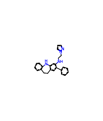 c1ccc(-c2cc3c(cc2NCCn2cccn2)Nc2ccccc2CC3)cc1